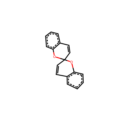 C1=CC2(C=Cc3ccccc3O2)Oc2ccccc21